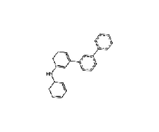 C1=CCC(NC2=CC(c3cccc(-c4ccccc4)c3)=CCC2)C=C1